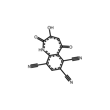 N#Cc1cc(C#N)c2[nH]c(=O)c(O)cc(=O)c2c1C#N